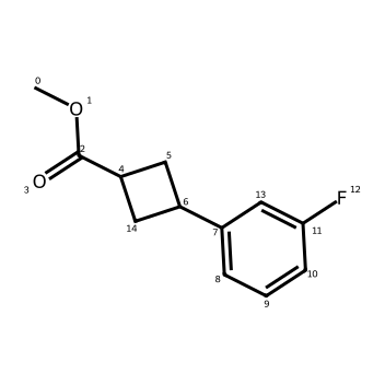 COC(=O)C1CC(c2cccc(F)c2)C1